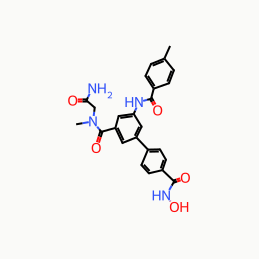 Cc1ccc(C(=O)Nc2cc(C(=O)N(C)CC(N)=O)cc(-c3ccc(C(=O)NO)cc3)c2)cc1